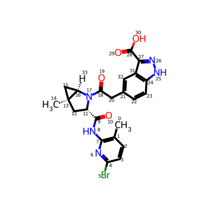 Cc1ccc(Br)nc1NC(=O)[C@@H]1C[C@@]2(C)C[C@H]2N1C(=O)Cc1ccc2[nH]nc(C(=O)O)c2c1